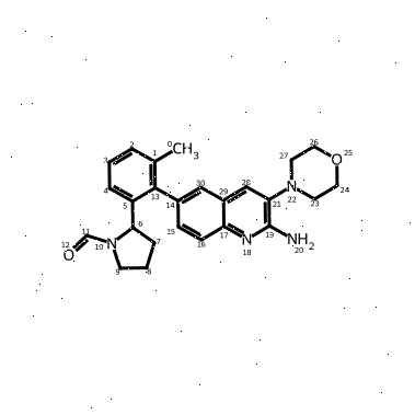 Cc1cccc(C2CCCN2C=O)c1-c1ccc2nc(N)c(N3CCOCC3)cc2c1